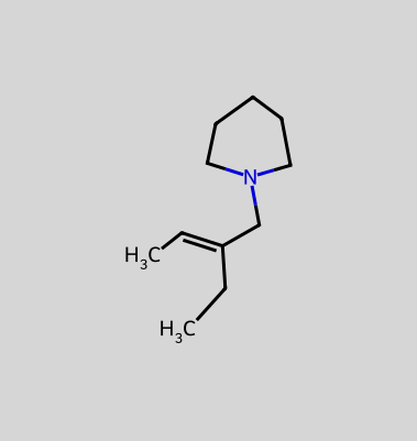 CC=C(CC)CN1CCCCC1